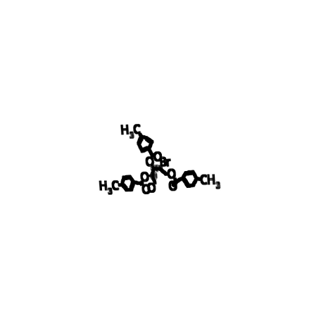 Cc1ccc(C(=O)O[C@@H]([C@H](Br)COC(=O)C2=CCC(C)C=C2)[C@H](C=O)OC(=O)c2ccc(C)cc2)cc1